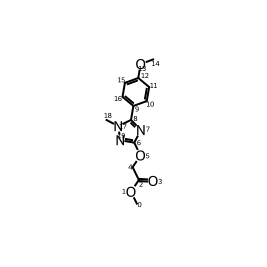 COC(=O)COc1nc(-c2ccc(OC)cc2)n(C)n1